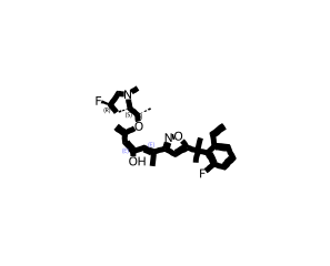 C=Cc1cccc(F)c1C(C)(C)c1cc(/C(C)=C/C(O)=C\C(=C)O[C@@H](C)[C@@H]2C[C@@H](F)CN2C)no1